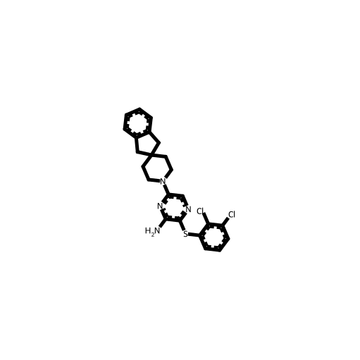 Nc1nc(N2CCC3(CC2)Cc2ccccc2C3)cnc1Sc1cccc(Cl)c1Cl